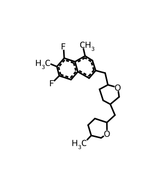 Cc1c(F)cc2cc(CC3CCC(CC4CCC(C)CO4)CO3)cc(C)c2c1F